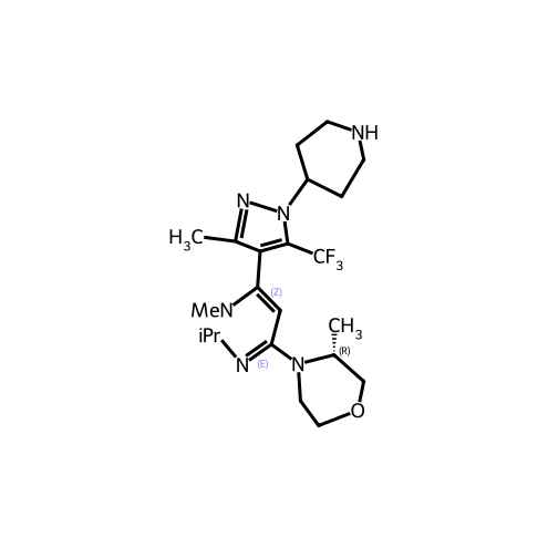 CN/C(=C\C(=N/C(C)C)N1CCOC[C@H]1C)c1c(C)nn(C2CCNCC2)c1C(F)(F)F